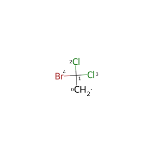 [CH2]C(Cl)(Cl)Br